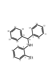 CCc1ccccc1NC(c1ccccc1)c1ccccc1